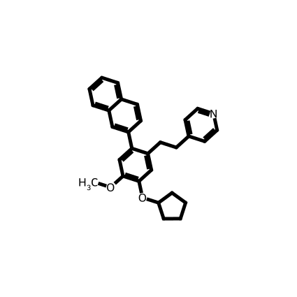 COc1cc(-c2ccc3ccccc3c2)c(CCc2ccncc2)cc1OC1CCCC1